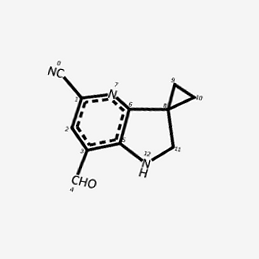 N#Cc1cc(C=O)c2c(n1)C1(CC1)CN2